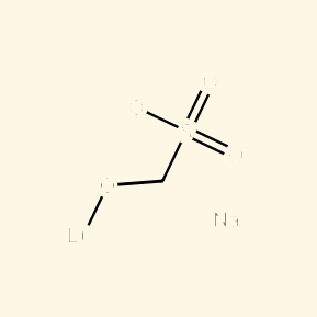 CCOCS(=O)(=O)[O-].[Na+]